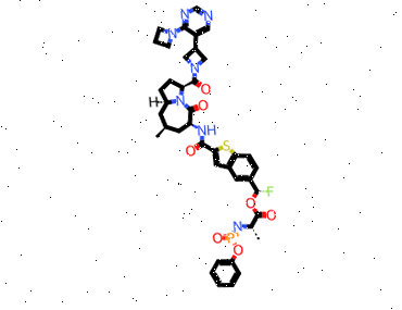 C[C@H]1C[C@H]2CC[C@@H](C(=O)N3CC(c4cncnc4N4CCC4)C3)N2C(=O)[C@@H](NC(=O)c2cc3cc([C@H](F)OC(=O)[C@H](C)N=[P+]([O-])Oc4ccccc4)ccc3s2)C1